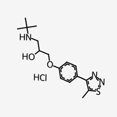 Cc1snnc1-c1ccc(OCC(O)CNC(C)(C)C)cc1.Cl